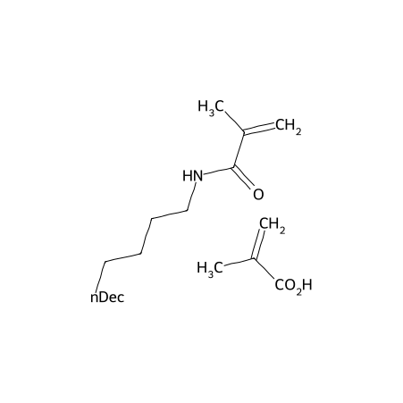 C=C(C)C(=O)NCCCCCCCCCCCCCC.C=C(C)C(=O)O